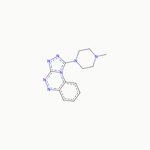 CN1CCN(c2nnc3nnc4ccccc4n23)CC1